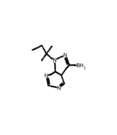 BC1=NN(C(C)(C)CC)C2N=CN=CC12